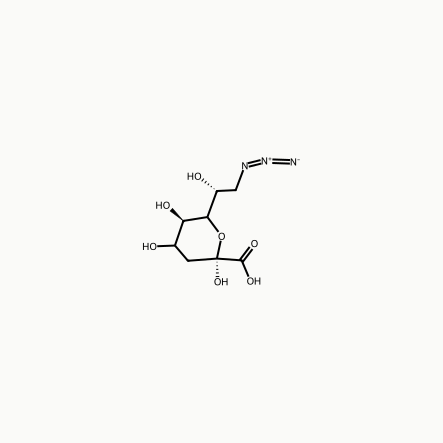 [N-]=[N+]=NC[C@@H](O)C1O[C@@](O)(C(=O)O)CC(O)[C@H]1O